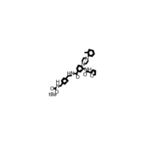 Cc1ccccc1N1CCN(c2ccc(C(=O)NCCc3ccc(CNC(=O)OC(C)(C)C)cc3)cc2NC(=O)c2ccco2)CC1